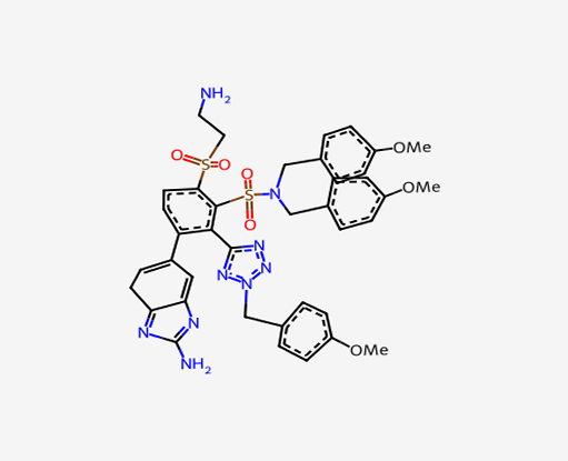 COc1ccc(CN(Cc2ccc(OC)cc2)S(=O)(=O)c2c(S(=O)(=O)CCN)ccc(C3=CCC4=NC(N)=NC4=C3)c2-c2nnn(Cc3ccc(OC)cc3)n2)cc1